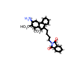 Nc1cc2c(cc(CCCCN3C(=O)c4ccccc4C3=O)c3ccccc32)c(C(=O)O)c1C(=O)O